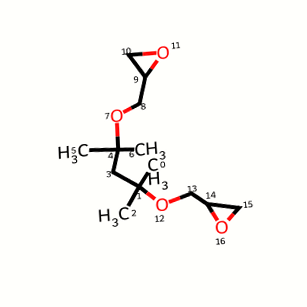 CC(C)(CC(C)(C)OCC1CO1)OCC1CO1